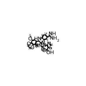 COc1cc(C(Nc2ccc(C(=N)N)cc2)c2nn(-c3ncsc3C(=O)O)c(=O)[nH]2)c(F)c2c1OCCO2